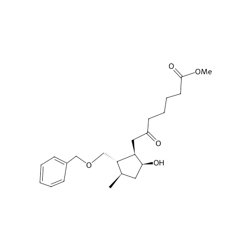 COC(=O)CCCCC(=O)C[C@@H]1[C@@H](COCc2ccccc2)[C@H](C)C[C@@H]1O